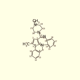 Cc1cc2c(s1)N(Cc1ccccc1)c1ccccc1N=C2N1CCN(C)CC1